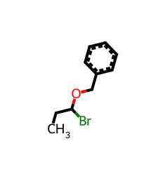 CCC(Br)OCc1ccccc1